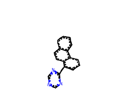 c1ccc2c(c1)ccc1c(-c3ncncn3)cccc12